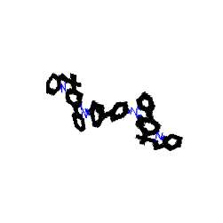 CC1(C)c2cc3c(cc2-n2c1cc1c2C=CCC1)c1ccccc1n3-c1ccc(-c2ccc(-n3c4ccccc4c4cc5c(cc43)C(C)(C)c3cc4ccccc4n3-5)cc2)cc1